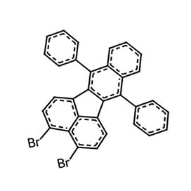 Brc1ccc2c3c(ccc(Br)c13)-c1c-2c(-c2ccccc2)c2ccccc2c1-c1ccccc1